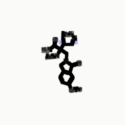 C/C=C(\C=N/NC)C(CN1Cc2ccc(OC)cc2C1=O)(NC(C)=O)C(N)=O